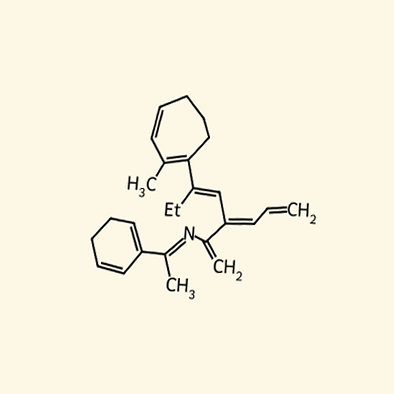 C=C/C=C(\C=C(/CC)C1=C(C)C=CCCC1)C(=C)/N=C(\C)C1=CCCC=C1